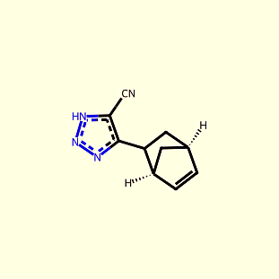 N#Cc1[nH]nnc1C1C[C@H]2C=C[C@@H]1C2